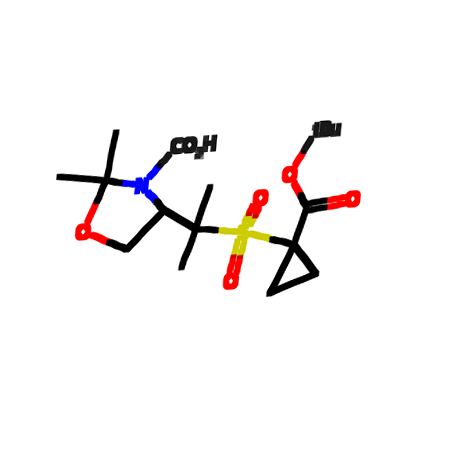 CC(C)(C)OC(=O)C1(S(=O)(=O)C(C)(C)C2COC(C)(C)N2C(=O)O)CC1